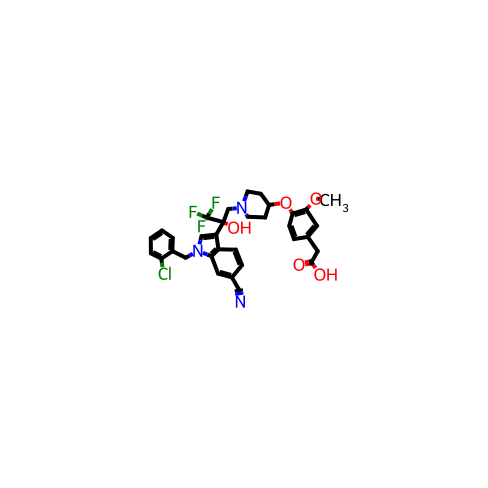 COc1cc(CC(=O)O)ccc1OC1CCN(CC(O)(c2cn(Cc3ccccc3Cl)c3cc(C#N)ccc23)C(F)(F)F)CC1